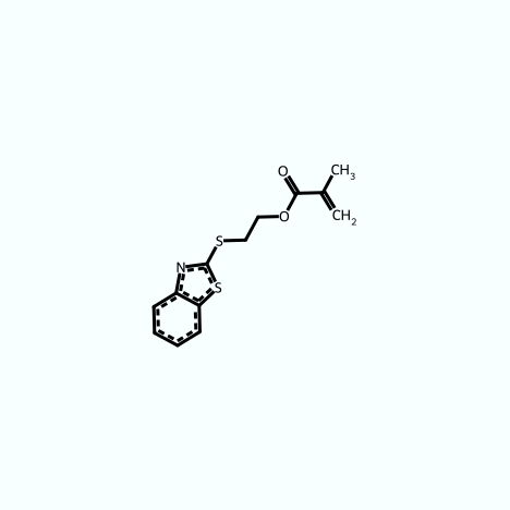 C=C(C)C(=O)OCCSc1nc2ccccc2s1